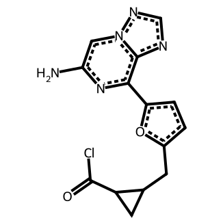 Nc1cn2ncnc2c(-c2ccc(CC3CC3C(=O)Cl)o2)n1